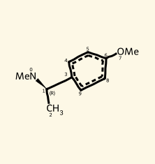 CN[C@H](C)c1ccc(OC)cc1